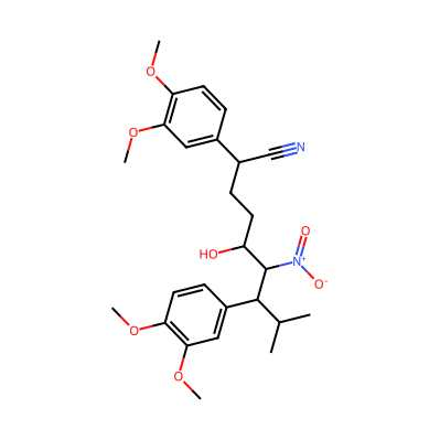 COc1ccc(C(C#N)CCC(O)C(C(c2ccc(OC)c(OC)c2)C(C)C)[N+](=O)[O-])cc1OC